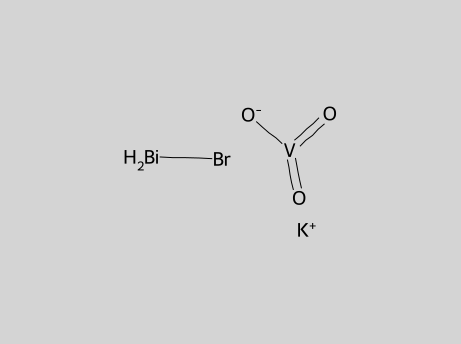 [Br][BiH2].[K+].[O]=[V](=[O])[O-]